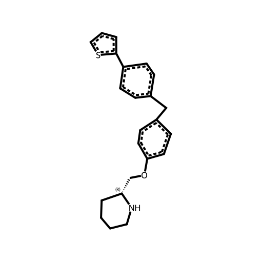 c1csc(-c2ccc(Cc3ccc(OC[C@H]4CCCCN4)cc3)cc2)c1